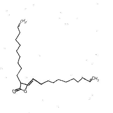 C=CCCCCCCCCC=C1OC(=O)C1CCCCCCCCC=C